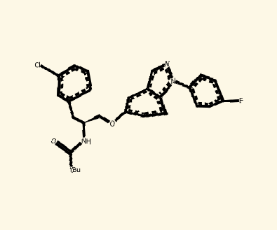 CC(C)(C)C(=O)N[C@H](COc1ccc2c(cnn2-c2ccc(F)cc2)c1)Cc1cccc(Cl)c1